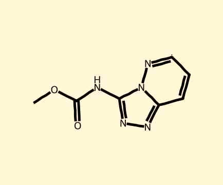 COC(=O)Nc1nnc2cc[c]nn12